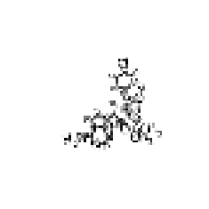 CC1(C)O[C@@H]2[C@@H]([C@@H]3OCc4cc(Cl)ccc43)CC(n3ccc4c(N)ncnc43)[C@@H]2O1